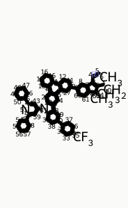 C=CC1=C(/C=C\C)c2cc(-c3ccc4c5ccccc5c5cc6c(cc5c4c3)c3cc(-c4ccc(C(F)(F)F)cc4)ccc3n6-c3cc(-c4ccccc4)nc(-c4ccccc4)c3)ccc2C1(C)C